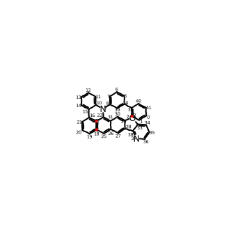 c1ccc(-c2cccc(N(c3ccccc3-c3ccccc3)c3cccc4cc5c(cc34)oc3cccnc35)c2)cc1